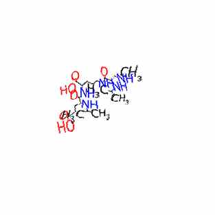 CNC[C@H](NC(C)C)C(=O)NCCCC(NC(=O)[C@H](CCC(=O)O)NC(C)C)C(=O)O